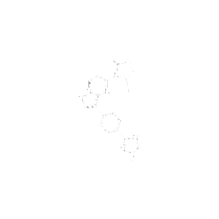 CC(C)C1COC(=O)N1c1ccn2ncc(-c3ccc(-c4nc[nH]n4)cc3)c2n1